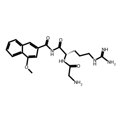 COc1cc(C(=O)NC(=O)[C@H](CCCNC(=N)N)NC(=O)CN)cc2ccccc12